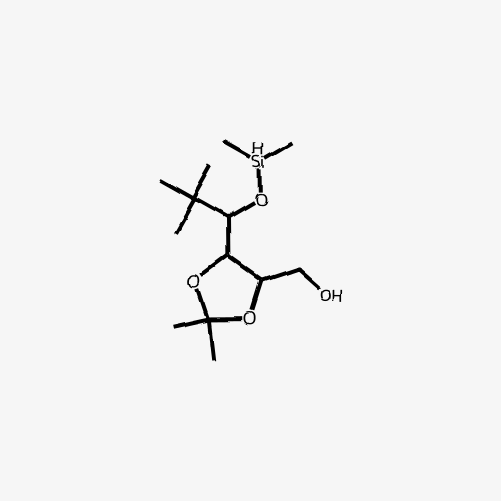 C[SiH](C)OC(C1OC(C)(C)OC1CO)C(C)(C)C